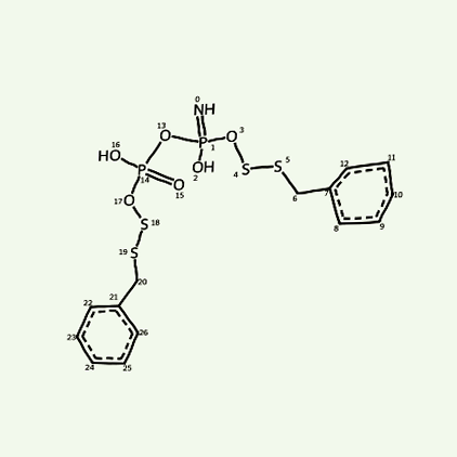 N=P(O)(OSSCc1ccccc1)OP(=O)(O)OSSCc1ccccc1